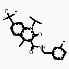 Cc1c(C(=O)NCc2cccc(F)c2)c(=O)n(C(C)C)c2cc(C(F)(F)F)ccc12